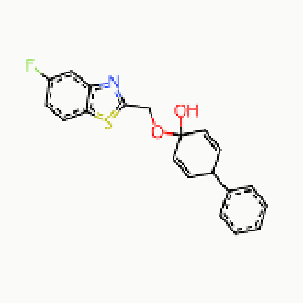 OC1(OCc2nc3cc(F)ccc3s2)C=CC(c2ccccc2)C=C1